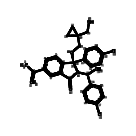 C=C(C)c1ccc2c(c1)C(=O)N(C(C)c1ccc(Cl)cc1)[C@@]2(OCC1(CO)CC1)c1ccc(Cl)cc1